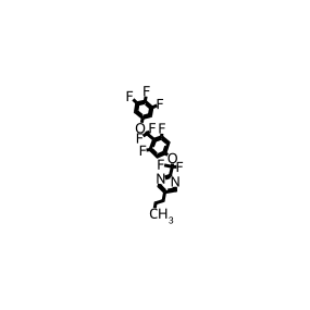 CCCc1cnc(C(F)(F)Oc2cc(F)c(C(F)(F)Oc3cc(F)c(F)c(F)c3)c(F)c2)nc1